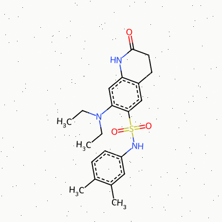 CCN(CC)c1cc2c(cc1S(=O)(=O)Nc1ccc(C)c(C)c1)CCC(=O)N2